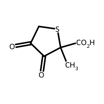 CC1(C(=O)O)SCC(=O)C1=O